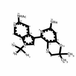 [2H]C([2H])([2H])n1cc(-c2nc(SC)cc3c2OCC(C)(C)O3)c2cc(NC(C)=O)ncc21